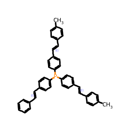 Cc1ccc(/C=C/c2ccc(P(c3ccc(/C=C/c4ccccc4)cc3)c3ccc(/C=C/c4ccc(C)cc4)cc3)cc2)cc1